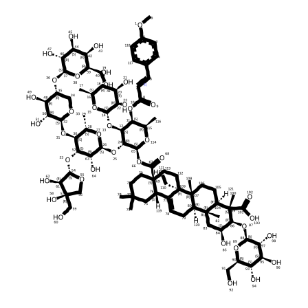 COc1ccc(/C=C/C(=O)O[C@@H]2[C@H](O[C@@H]3O[C@@H](C)[C@H](O)[C@@H](O)[C@H]3O)[C@@H](O[C@@H]3O[C@@H](C)[C@H](O[C@@H]4OC[C@@H](O[C@@H]5O[C@H](CO)[C@H](O)[C@H](O)[C@H]5O)[C@H](O)[C@H]4O)[C@@H](O[C@@H]4OC[C@](O)(CO)[C@H]4O)[C@H]3O)[C@H](OC(=O)[C@]34CCC(C)(C)C[C@H]3C3=CC[C@@H]5[C@@]6(C)C[C@H](O)[C@H](O[C@@H]7O[C@H](CO)[C@@H](O)[C@H](O)[C@H]7O)[C@@](C)(C(=O)O)[C@@H]6CC[C@@]5(C)[C@]3(CO)CC4)O[C@@H]2C)cc1